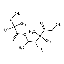 CCC(=O)C(C)(C)C(C)C(C)OC(=O)C(C)(C)OC